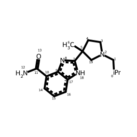 CC(C)CN1CCC(C)(c2nc3c(C(N)=O)cccc3[nH]2)C1